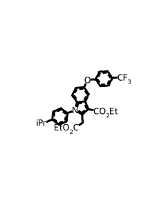 CCOC(=O)Cc1c(C(=O)OCC)c2cc(Oc3ccc(C(F)(F)F)cc3)ccc2n1-c1ccc(C(C)C)cc1